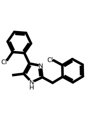 Cc1[nH]c(Cc2ccccc2Cl)nc1-c1ccccc1Cl